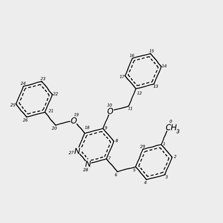 Cc1cccc(Cc2cc(OCc3ccccc3)c(OCc3ccccc3)nn2)c1